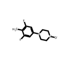 Cc1c(F)cc(N2CC[S+]([O-])CC2)cc1F